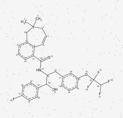 CC1(C)CC=Cc2c(cccc2C(=O)NC(Cc2cccc(OC(F)(F)C(F)F)c2)C(O)c2ccc(F)cc2)C1